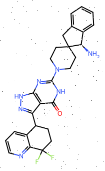 N[C@@H]1c2ccccc2CC12CCN(c1nc3[nH]nc(C4CCC(F)(F)c5ncccc54)c3c(=O)[nH]1)CC2